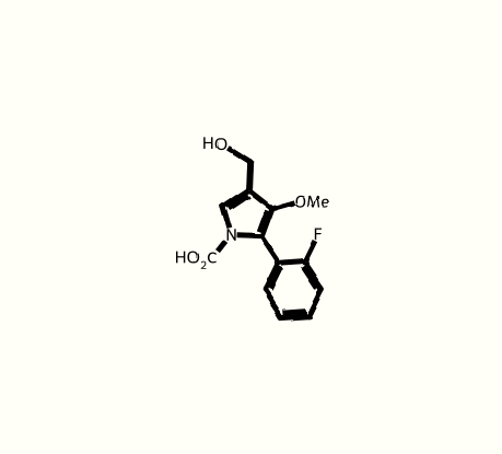 COc1c(CO)cn(C(=O)O)c1-c1ccccc1F